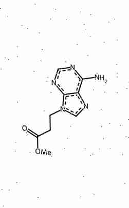 COC(=O)CCn1cnc2c(N)ncnc21